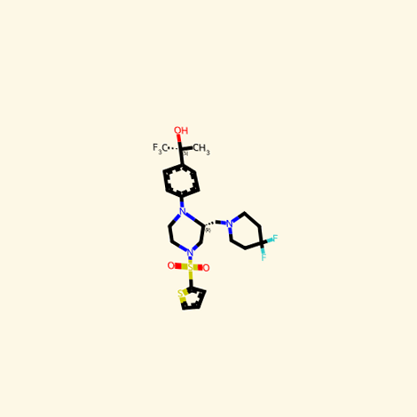 C[C@](O)(c1ccc(N2CCN(S(=O)(=O)c3cccs3)C[C@H]2CN2CCC(F)(F)CC2)cc1)C(F)(F)F